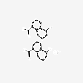 O=C([O-])c1cccc2c(Br)cccc12.O=C([O-])c1cccc2c(Br)cccc12.[Cd+2]